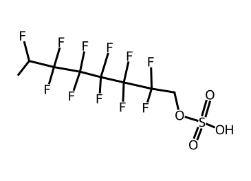 CC(F)C(F)(F)C(F)(F)C(F)(F)C(F)(F)C(F)(F)COS(=O)(=O)O